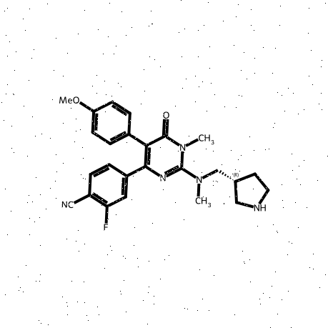 COc1ccc(-c2c(-c3ccc(C#N)c(F)c3)nc(N(C)C[C@@H]3CCNC3)n(C)c2=O)cc1